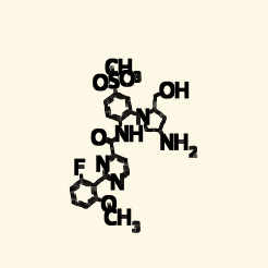 COc1cccc(F)c1-c1nccc(C(=O)Nc2ccc(S(C)(=O)=O)cc2N2CC(N)CC2CO)n1